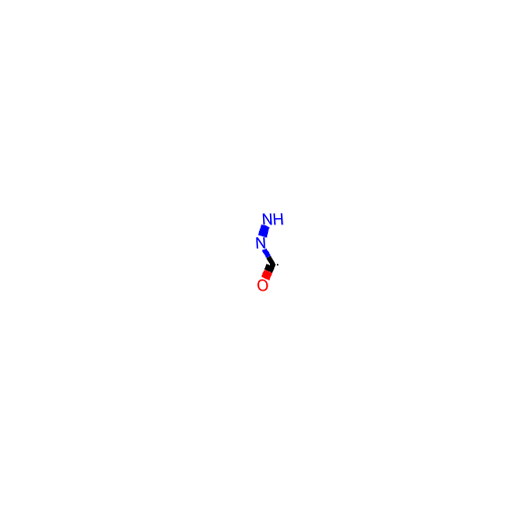 N=N[C]=O